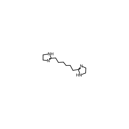 C(CCCC1=NCCN1)CCC1=NCCN1